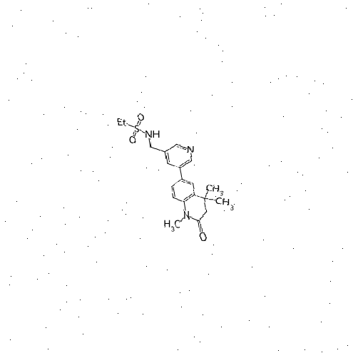 CCS(=O)(=O)NCc1cncc(-c2ccc3c(c2)C(C)(C)CC(=O)N3C)c1